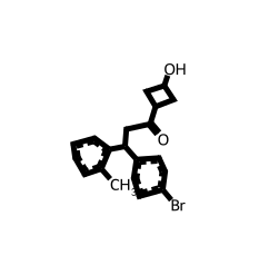 Cc1ccccc1C(CC(=O)C1CC(O)C1)c1ccc(Br)cc1